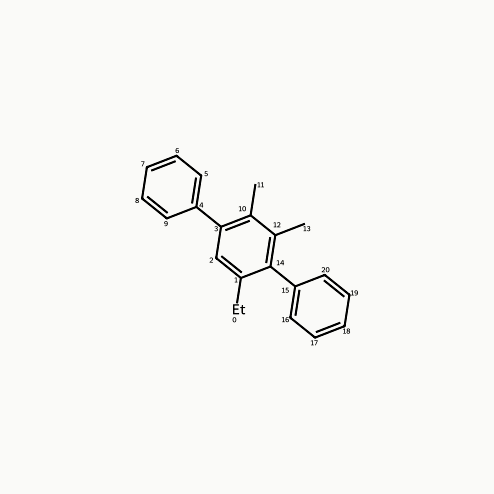 CCc1cc(-c2ccccc2)c(C)c(C)c1-c1ccccc1